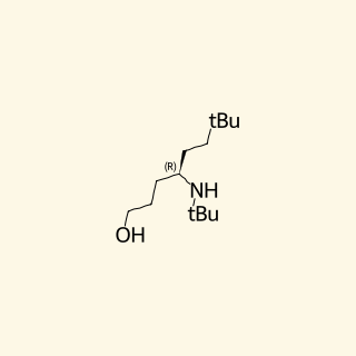 CC(C)(C)CC[C@H](CCCO)NC(C)(C)C